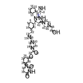 CC(=N)/C(=C1/N=C(c2cccc(CCN(C)CN3CCN(C(=O)COc4cccc(N5CCC(=O)NC5=O)c4)CC3)c2)C=C(N2CCN(CCO)CC2)N1)c1ccccc1